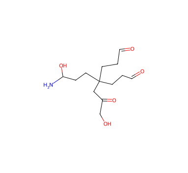 NC(O)CCC(CCC=O)(CCC=O)CC(=O)CO